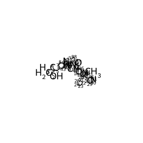 C=C(O)/C(C)=C/c1ccc2nc(C3(NC(=O)c4ccc5c(C6CCCC6)c(-c6cccnc6)n(C)c5c4)CCC3)n(C)c2c1